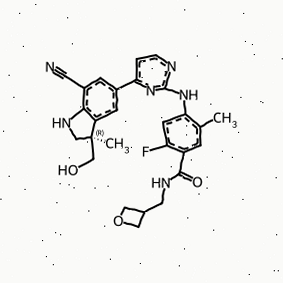 Cc1cc(C(=O)NCC2COC2)c(F)cc1Nc1nccc(-c2cc(C#N)c3c(c2)[C@@](C)(CO)CN3)n1